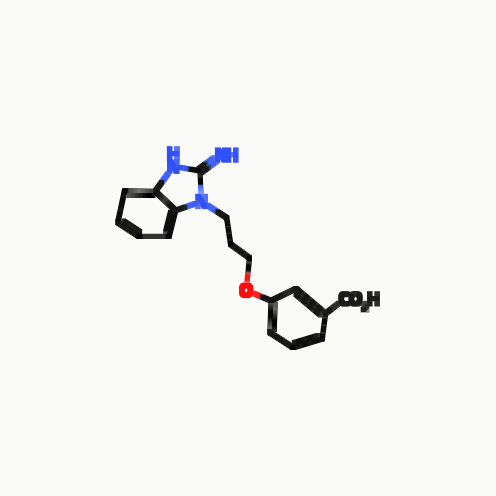 N=c1[nH]c2ccccc2n1CCCOc1cccc(C(=O)O)c1